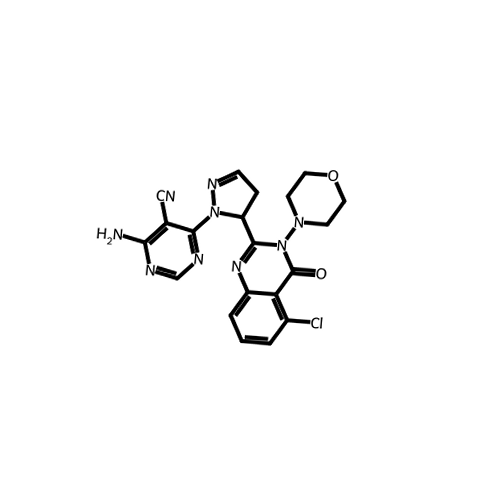 N#Cc1c(N)ncnc1N1N=CCC1c1nc2cccc(Cl)c2c(=O)n1N1CCOCC1